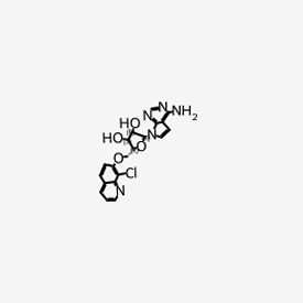 Nc1ncnc2c1ccn2[C@@H]1O[C@H](COc2ccc3cccnc3c2Cl)[C@@H](O)[C@H]1O